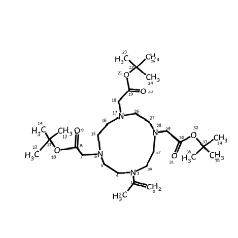 C=C(C)N1CCN(CC(=O)OC(C)(C)C)CCN(CC(=O)OC(C)(C)C)CCN(CC(=O)OC(C)(C)C)CC1